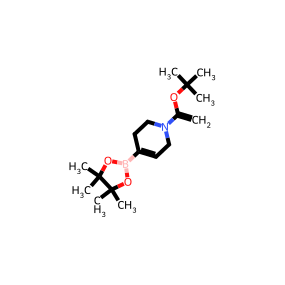 C=C(OC(C)(C)C)N1CC=C(B2OC(C)(C)C(C)(C)O2)CC1